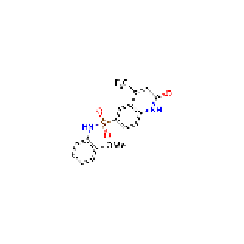 COc1ccccc1NS(=O)(=O)c1ccc2[nH]c(=O)cc(C(F)(F)F)c2c1